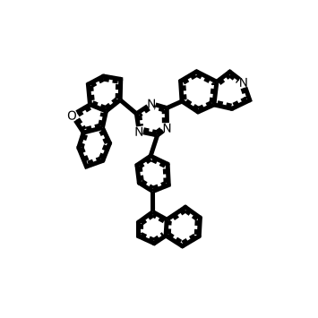 c1ccc2c(-c3ccc(-c4nc(-c5ccc6cnccc6c5)nc(-c5cccc6oc7ccccc7c56)n4)cc3)cccc2c1